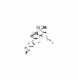 COC(C(=O)OC1CC(C)CCC1C(C)C)c1ccc(C(F)(F)F)cc1